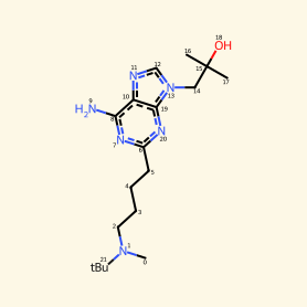 CN(CCCCc1nc(N)c2ncn(CC(C)(C)O)c2n1)C(C)(C)C